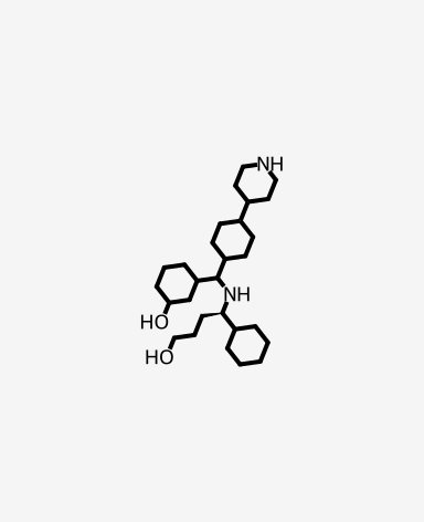 OCCC[C@@H](NC(C1CCC(C2CCNCC2)CC1)C1CCCC(O)C1)C1CCCCC1